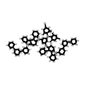 Cc1cc(C)c(B(c2cc(-n3c4ccccc4c4c5c6ccccc6n(-c6cccc(-c7cccc(-c8ccccc8)c7)c6)c5ccc43)cc(-n3c4ccccc4c4c5c6ccccc6n(-c6cccc(-c7cccc(-c8ccccc8)c7)c6)c5ccc43)c2)c2c(C)cc(C)cc2C)c(C)c1